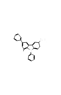 Cc1cc(-c2ccccc2)cc2c3c(n(-c4ccccc4)c12)=CCC(N)C=3